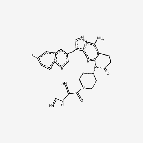 N=CNC(=N)C(=O)N1CCC(N2C(=O)CCc3c2nc2c(-c4cnc5ccc(F)cc5c4)cnn2c3N)CC1